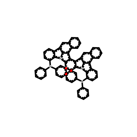 c1ccc(N(c2ccccc2)c2cccc3c4c5ccccc5cc5c6c7c8c9ccccc9cc9c%10cccc(N(c%11ccccc%11)c%11ccccc%11)c%10n(c7ncc6n(c23)c54)c98)cc1